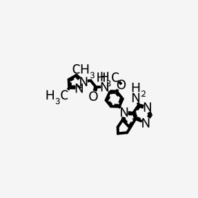 COc1cc(-n2c3c(c4ncnc(N)c42)CCC3)ccc1NC(=O)Cn1nc(C)cc1C